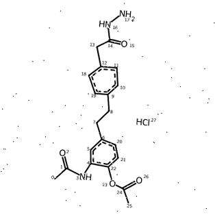 CC(=O)Nc1cc(CCc2ccc(CC(=O)NN)cc2)ccc1OC(C)=O.Cl